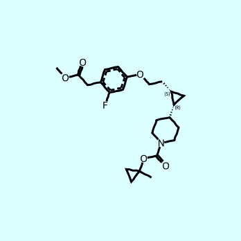 COC(=O)Cc1ccc(OCC[C@@H]2C[C@@H]2C2CCN(C(=O)OC3(C)CC3)CC2)cc1F